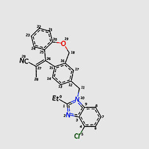 CCc1nc2c(Cl)cccc2n1Cc1ccc2c(c1)COc1ccccc1/C2=C(/C)C#N